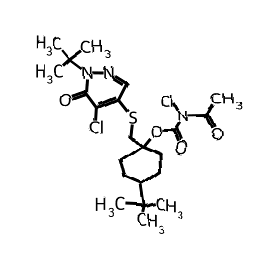 CC(=O)N(Cl)C(=O)OC1(CSc2cnn(C(C)(C)C)c(=O)c2Cl)CCC(C(C)(C)C)CC1